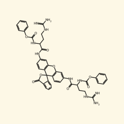 N=C(N)NCCC(NC(=O)Oc1ccccc1)C(=O)Nc1ccc2c(c1)Oc1cc(NC(=O)C(CCNC(=N)N)NC(=O)Oc3ccccc3)ccc1C21OC(=O)c2ccccc21